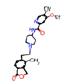 CCOc1cc(C(=O)NC2CCN(CCc3ccc4c(c3C)COC4=O)CC2)ncc1C#N